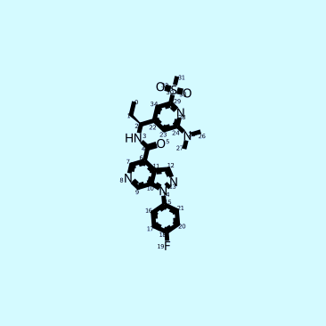 CC[C@H](NC(=O)c1cncc2c1cnn2-c1ccc(F)cc1)c1cc(N(C)C)nc(S(C)(=O)=O)c1